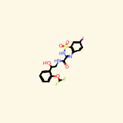 O=C(NCC(O)c1ccccc1OC(F)F)C1=Nc2ccc(I)cc2S(=O)(=O)N1